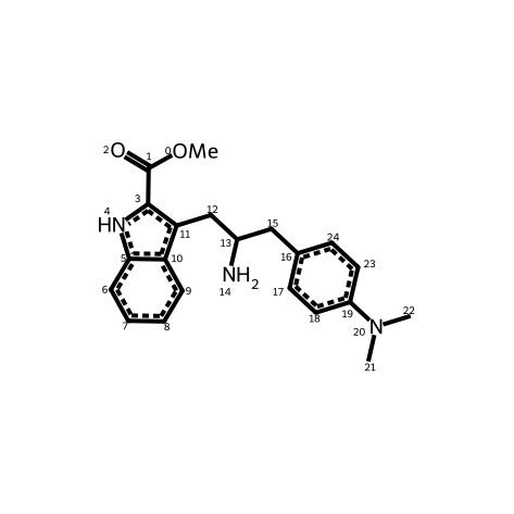 COC(=O)c1[nH]c2ccccc2c1CC(N)Cc1ccc(N(C)C)cc1